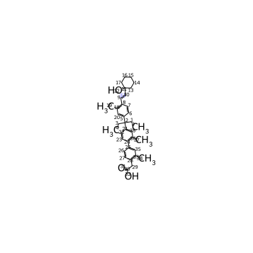 CCC(CC)(c1ccc(/C=C/C2(O)CCCCC2)c(C)c1)c1ccc(-c2ccc(CC(=O)O)c(C)c2)c(C)c1